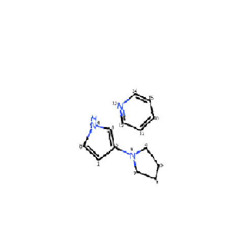 c1cc(N2CCCC2)c[nH]1.c1ccncc1